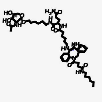 CCCCCCNC(=O)CCC(=O)N1Cc2ccccc2/C(N)=C(/NCCCCCC(=O)NC(CCC(N)=O)C(=O)NCCCCCCO[C@@H]2OC[C@H](O)[C@H](O)[C@H]2NC(C)=O)c2ccccc21